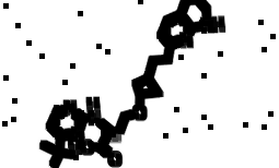 CC(C)(C)c1ccnc(N[C@@H](CCOC2CC(CCc3ccc4c(n3)NCCC4)C2)C(=O)O)n1